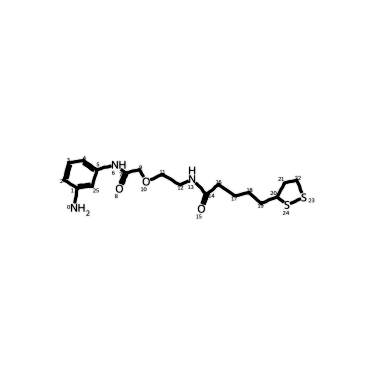 Nc1cccc(NC(=O)COCCNC(=O)CCCCC2CCSS2)c1